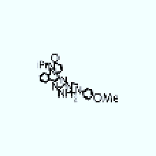 COc1ccc(N2CCN(c3nc(-c4ccc(=O)n(C(C)C)n4)c(-c4ccccc4)nc3N)CC2)cc1